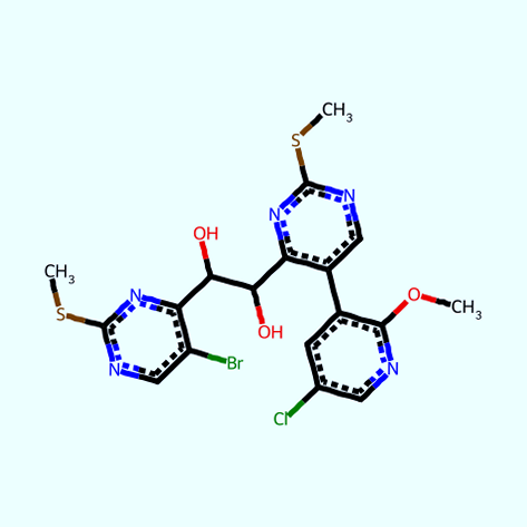 COc1ncc(Cl)cc1-c1cnc(SC)nc1C(O)C(O)c1nc(SC)ncc1Br